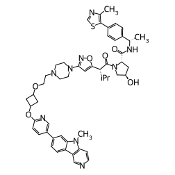 Cc1ncsc1-c1ccc([C@H](C)NC(=O)[C@@H]2C[C@@H](O)CN2C(=O)[C@@H](c2cc(N3CCN(CCOC4CC(Oc5ccc(-c6ccc7c8cnccc8n(C)c7c6)cn5)C4)CC3)no2)C(C)C)cc1